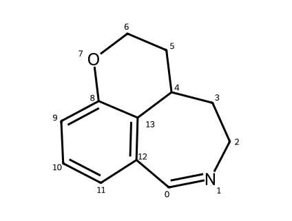 C1=NCCC2CCOc3cccc1c32